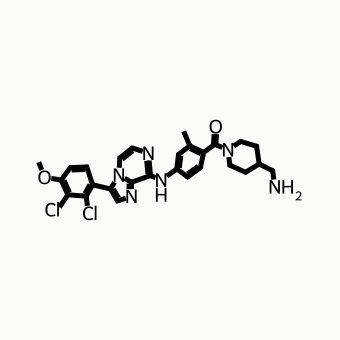 COc1ccc(-c2cnc3c(Nc4ccc(C(=O)N5CCC(CN)CC5)c(C)c4)nccn23)c(Cl)c1Cl